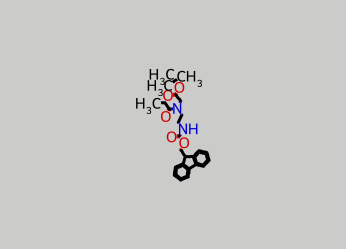 CCC(=O)N(CCNC(=O)OCC1c2ccccc2-c2ccccc21)CC(=O)OC(C)(C)C